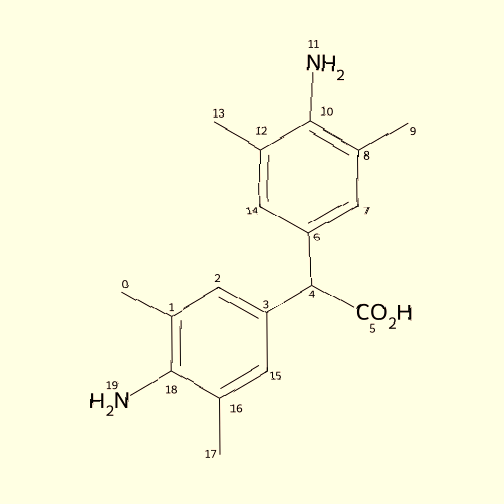 Cc1cc(C(C(=O)O)c2cc(C)c(N)c(C)c2)cc(C)c1N